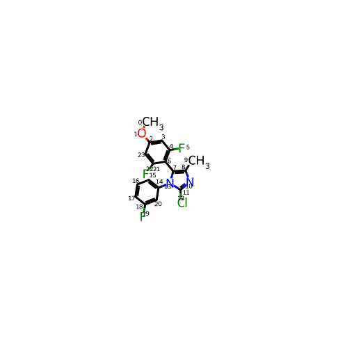 COc1cc(F)c(-c2c(C)nc(Cl)n2-c2cccc(F)c2)c(F)c1